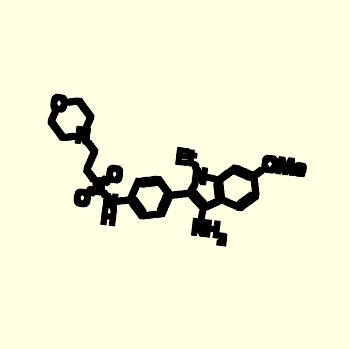 CCn1c(-c2ccc(NS(=O)(=O)CCN3CCOCC3)cc2)c(N)c2ccc(OC)cc21